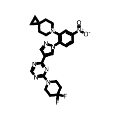 O=[N+]([O-])c1ccc(-n2cc(-c3ncnc(N4CCC(F)(F)CC4)n3)cn2)c(N2CCC3(CC2)CC3)c1